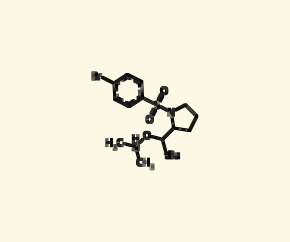 C[SiH](C)OC(C1CCCN1S(=O)(=O)c1ccc(Br)cc1)C(C)(C)C